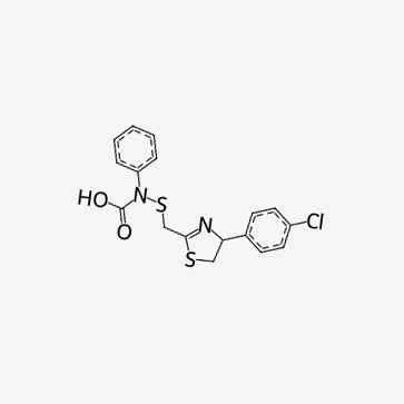 O=C(O)N(SCC1=NC(c2ccc(Cl)cc2)CS1)c1ccccc1